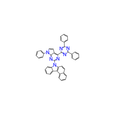 c1ccc(-c2nc(-c3ccccc3)nc(-c3nc(-n4c5ccccc5c5c6ccccc6ccc54)nc4c3ccn4-c3ccccc3)n2)cc1